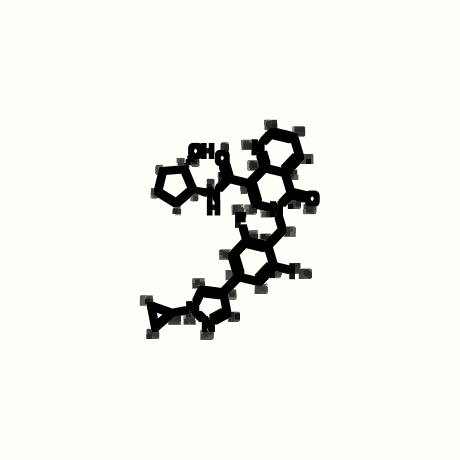 O=C(N[C@H]1CCC[C@@H]1O)c1cn(Cc2c(F)cc(-c3cnn(C4CC4)c3)cc2F)c(=O)c2cccnc12